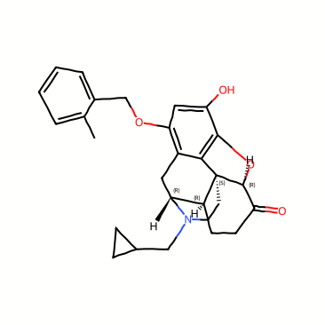 Cc1ccccc1COc1cc(O)c2c3c1C[C@@H]1[C@@H]4CCC(=O)[C@H](O2)[C@]34CCN1CC1CC1